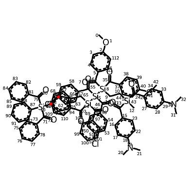 COc1ccc(C(=O)[Si](CC[Si](C)(C(=O)c2ccc(N(C)C)cc2)C(=O)c2ccc(N(C)C)cc2)(C(=O)c2ccc(OC)cc2)[Si](C(=O)c2ccc(Cl)cc2)(C(=O)c2ccc(Cl)cc2)[Si](Cc2ccc([Si](C(=O)c3ccccc3)(C(=O)c3ccccc3)c3ccccc3)cc2)(C(=O)c2ccccc2)C(=O)c2ccccc2)cc1